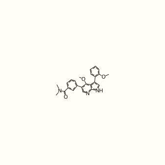 COc1ccccc1-c1c[nH]c2ncc(-c3cccc(C(=O)N(C)C)c3)c(OC)c12